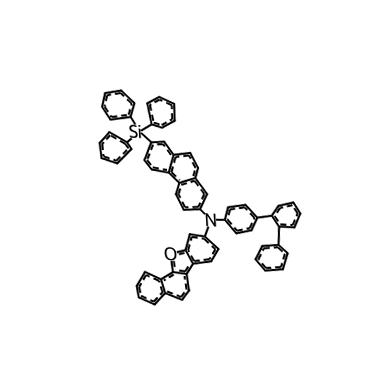 c1ccc(-c2ccccc2-c2ccc(N(c3ccc4c(ccc5cc([Si](c6ccccc6)(c6ccccc6)c6ccccc6)ccc54)c3)c3ccc4c(c3)oc3c5ccccc5ccc43)cc2)cc1